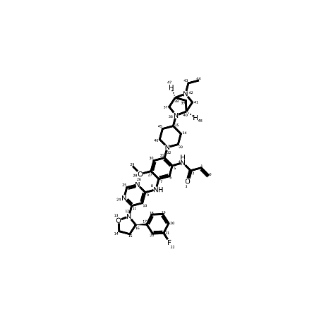 C=CC(=O)Nc1cc(Nc2cc(N3OCC[C@@H]3c3cccc(F)c3)ncn2)c(OC)cc1N1CCC(N2C[C@@H]3C[C@H]2CN3CC)CC1